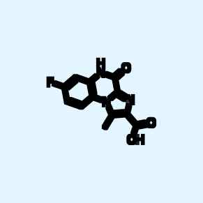 Cc1c(C(=O)O)nc2c(=O)[nH]c3cc(F)ccc3n12